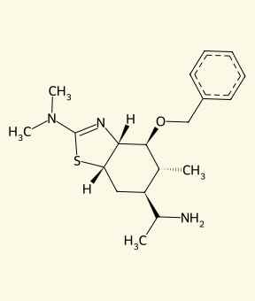 CC(N)[C@H]1C[C@@H]2SC(N(C)C)=N[C@@H]2[C@@H](OCc2ccccc2)[C@@H]1C